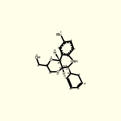 CC(C)(C)c1ccc2c(c1)[C@H]1OC(CO)CO[C@H]1[C@H](C1C=CC=CC1)N2